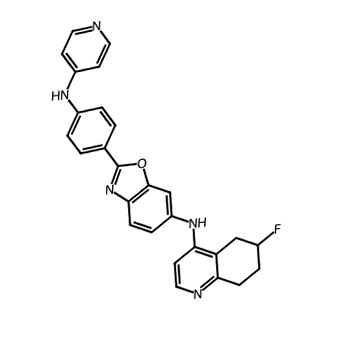 FC1CCc2nccc(Nc3ccc4nc(-c5ccc(Nc6ccncc6)cc5)oc4c3)c2C1